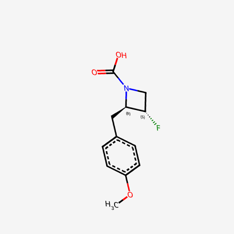 COc1ccc(C[C@@H]2[C@@H](F)CN2C(=O)O)cc1